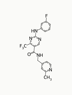 Cc1cc(CNC(=O)c2cnc(Nc3cccc(F)c3)nc2C(F)(F)F)ccn1